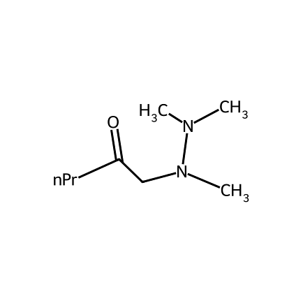 CCCC(=O)CN(C)N(C)C